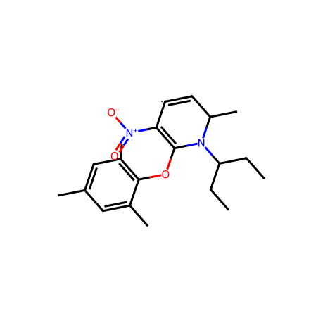 CCC(CC)N1C(Oc2c(C)cc(C)cc2C)=C([N+](=O)[O-])[C]=CC1C